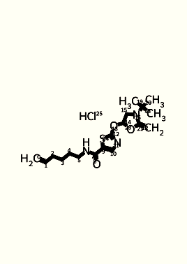 C=CCCCCNC(=O)c1cnc(OC2CN(C(C)(C)C)C(=C)O2)s1.Cl